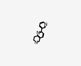 c1cncc(-c2ccc3c(n2)CC[N]C3)c1